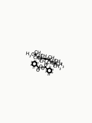 CC(C)(C)OOC(C)(C)C#CC(C)(C)OOC(C)(C)C.O=C(OOC(=O)c1ccccc1)c1ccccc1